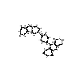 C1=c2cc3ccccc3c(-c3ccc(-c4ccc5sc6ccccc6c5c4)cc3)c2=CCC1